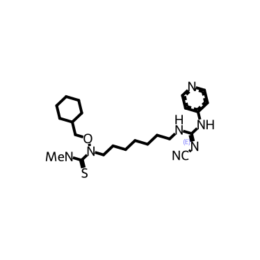 CNC(=S)N(CCCCCCCN/C(=N\C#N)Nc1ccncc1)OCC1CCCCC1